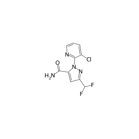 NC(=O)c1cc(C(F)F)nn1-c1ncccc1Cl